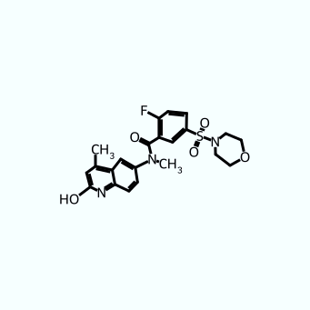 Cc1cc(O)nc2ccc(N(C)C(=O)c3cc(S(=O)(=O)N4CCOCC4)ccc3F)cc12